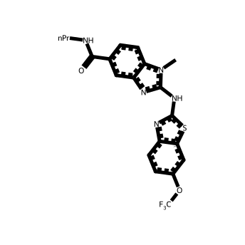 CCCNC(=O)c1ccc2c(c1)nc(Nc1nc3ccc(OC(F)(F)F)cc3s1)n2C